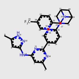 Cc1cc(Nc2cc(C)[nH]n2)nc(-c2ccc(N3CC4CC(C3)N4Cc3ccc(C(F)(F)F)cn3)nc2)n1